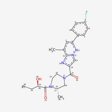 Cc1cc(-c2ccc(F)cc2)nn2cc(C(=O)N3CCN(C(=O)[C@H](O)CC(C)C)[C@@H](C)C3)nc12